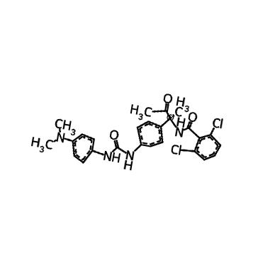 CC(=O)[C@@](C)(NC(=O)c1c(Cl)cccc1Cl)c1ccc(NC(=O)Nc2ccc(N(C)C)cc2)cc1